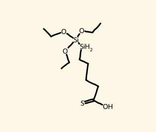 CCO[Si](OCC)(OCC)[SiH2]CCCCC(O)=S